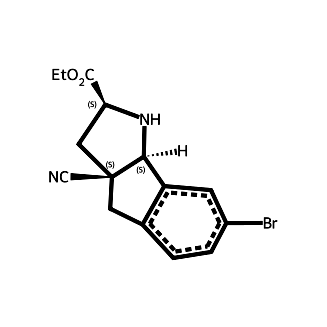 CCOC(=O)[C@@H]1C[C@@]2(C#N)Cc3ccc(Br)cc3[C@@H]2N1